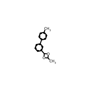 Cc1ccc(-c2cccc(C3OC(C)O3)c2)cc1